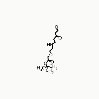 CC(C)(C)OC(=O)COCCNCCC(=O)CC=O